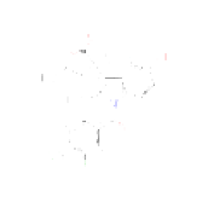 CCC[C@@](C)(C(=O)O)c1c(C)n(C(=O)c2ccc(Cl)c(Cl)c2)c2ccc(O)c(F)c12